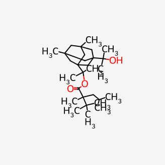 CC(C)CC(C)(C(=O)OC(C)(C)C12CC3(C)CC(C)(CC(C(C)(C)O)(C3)C1)C2)C(C)(C)C